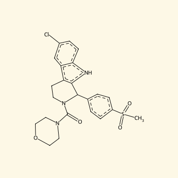 CS(=O)(=O)c1ccc(C2c3[nH]c4ccc(Cl)cc4c3CCN2C(=O)N2CCOCC2)cc1